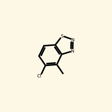 Cc1c(Cl)ccc2snnc12